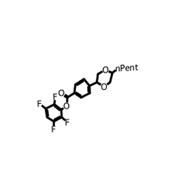 CCCCCC1COC(c2ccc(C(=O)Oc3c(F)c(F)cc(F)c3F)cc2)CO1